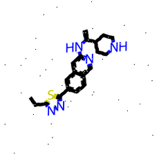 C=C(Nc1cc2cc(-c3nnc(CC)s3)ccc2cn1)C1CCNCC1